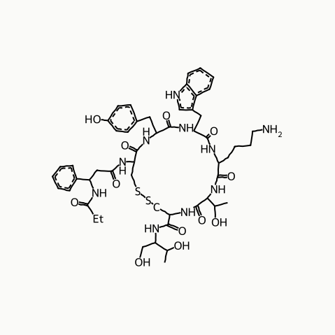 CCC(=O)NC(CC(=O)NC1CSSCC(C(=O)NC(CO)C(C)O)NC(=O)C(C(C)O)NC(=O)C(CCCCN)NC(=O)C(Cc2c[nH]c3ccccc23)NC(=O)C(Cc2ccc(O)cc2)NC1=O)c1ccccc1